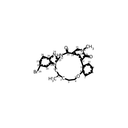 C[C@@H]1CCCOc2ccccc2-c2cc(cn(C)c2=O)C(=O)Nc2nc3ccc(Br)cc3n2C1